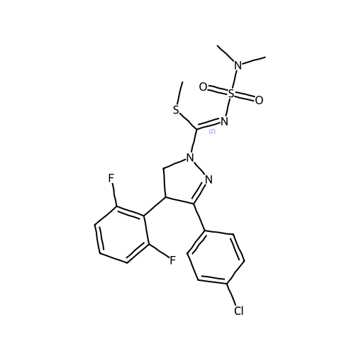 CS/C(=N\S(=O)(=O)N(C)C)N1CC(c2c(F)cccc2F)C(c2ccc(Cl)cc2)=N1